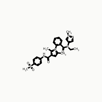 CCN(C(=O)c1ccccc1-n1c(C)cc(C(=O)Nc2ccc(S(C)(=O)=O)cc2)c1C)c1cnn(C)c1